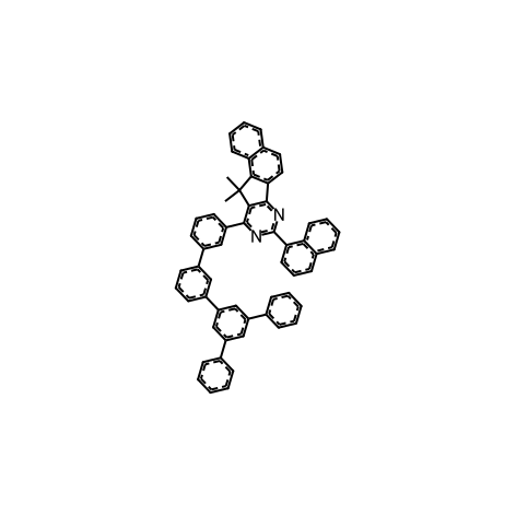 CC1(C)c2c(-c3cccc(-c4cccc(-c5cc(-c6ccccc6)cc(-c6ccccc6)c5)c4)c3)nc(-c3cccc4ccccc34)nc2-c2ccc3ccccc3c21